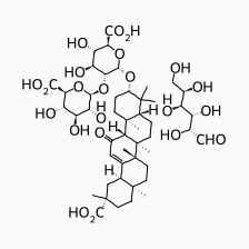 CC1(C)[C@@H](O[C@H]2O[C@H](C(=O)O)[C@@H](O)[C@H](O)[C@H]2O[C@@H]2O[C@H](C(=O)O)[C@@H](O)[C@H](O)[C@H]2O)CC[C@]2(C)[C@H]3C(=O)C=C4[C@@H]5C[C@@](C)(C(=O)O)CC[C@]5(C)CC[C@@]4(C)[C@]3(C)CC[C@@H]12.O=C[C@H](O)[C@@H](O)[C@@H](O)[C@H](O)CO